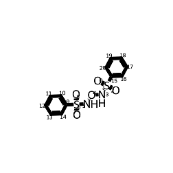 O=S(=O)(NONS(=O)(=O)c1ccccc1)c1ccccc1